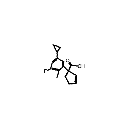 Cc1c(F)cc(C2CC2)cc1C1(C(=O)O)C=CCC1